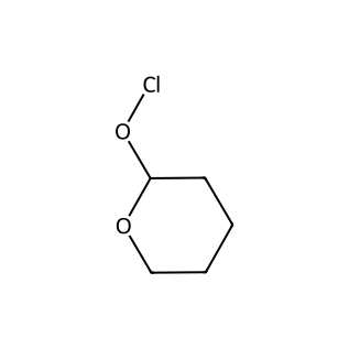 ClOC1CCCCO1